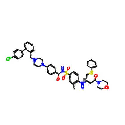 Cc1cc(S(=O)(=O)NC(=O)c2ccc(N3CCN(Cc4ccccc4-c4ccc(Cl)cc4)CC3)cc2)ccc1N[C@@H](CSc1ccccc1)CC(=O)N1CCOCC1